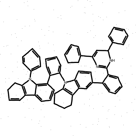 C1=CCCC(C2=CC(c3ccccc3)NC(c3ccccc3-c3ccc4c(c3)c3c(n4-c4ccccc4-c4cccc5c6c(n(-c7ccccc7)c45)CCC=C6)CCCC3)=N2)=C1